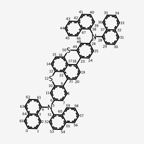 c1ccc2c(N(c3ccc4c(c3)Sc3ccc5c6c(ccc-4c36)-c3ccc(N(c4cccc6ccccc46)c4cccc6ccccc46)cc3S5)c3cccc4ccccc34)cccc2c1